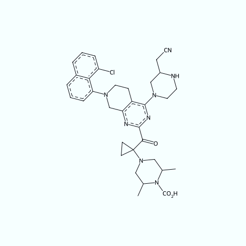 CC1CN(C2(C(=O)c3nc4c(c(N5CCNC(CC#N)C5)n3)CCN(c3cccc5cccc(Cl)c35)C4)CC2)CC(C)N1C(=O)O